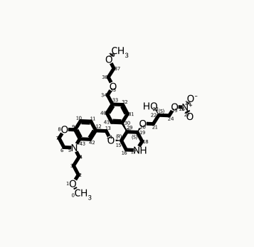 COCCCN1CCOc2ccc(CO[C@H]3CNC[C@@H](OC[C@H](O)CO[N+](=O)[O-])[C@@H]3c3ccc(COCCOC)cc3)cc21